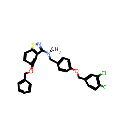 CN(Cc1ccc(OCc2ccc(Cl)c(Cl)c2)cc1)c1nsc2ccc(OCc3ccccc3)cc12